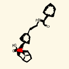 O=C(NCCc1ccc(C(=O)N2C3CCC2CC(O)C3)cc1)c1ccccc1